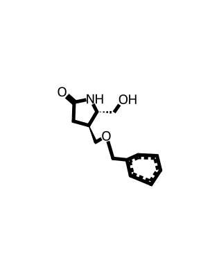 O=C1C[C@H](COCc2ccccc2)[C@@H](CO)N1